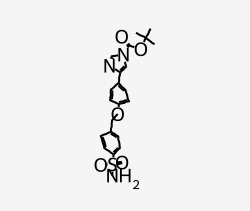 CC(C)(C)OC(=O)n1cnc(-c2ccc(OCc3ccc(S(N)(=O)=O)cc3)cc2)c1